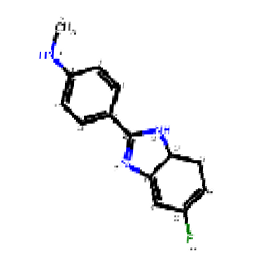 CNc1ccc(C2=NC3=CC(F)=CCC3N2)cc1